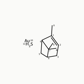 CC1=CCC2CC1C2(C)C.S.[Au]